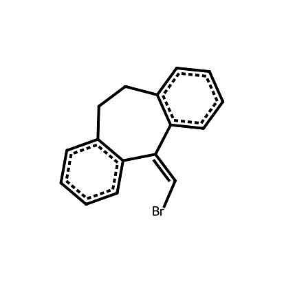 BrC=C1c2ccccc2CCc2ccccc21